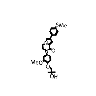 COc1cc(N2CCn3cc(-c4ccc(SC)cc4)cc3C2=O)ccc1OCC(C)(C)O